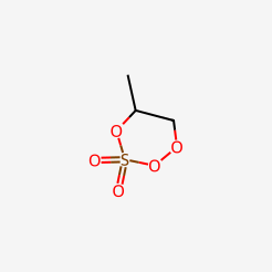 CC1COOS(=O)(=O)O1